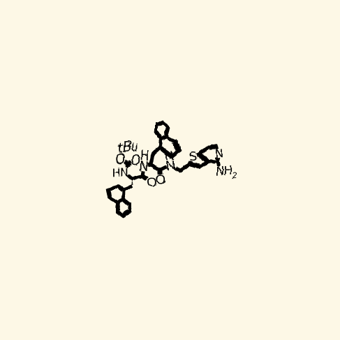 CC(C)(C)OC(=O)N[C@@H](Cc1cccc2ccccc12)C(=O)NC(Cc1cccc2ccccc12)C(=O)NCc1cc2c(N)nccc2s1